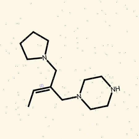 C/C=C(/CN1CCCC1)CN1CCNCC1